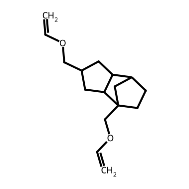 C=COCC1CC2C3CCC(COC=C)(C3)C2C1